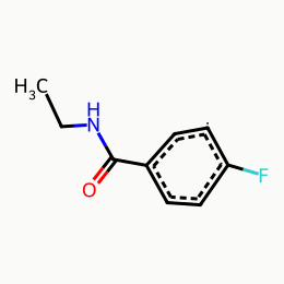 CCNC(=O)c1c[c]c(F)cc1